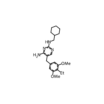 CCc1c(OC)cc(Cc2cnc(NCC3CCCCC3)nc2N)cc1OC